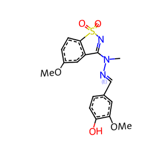 COc1ccc2c(c1)C(N(C)/N=C/c1ccc(O)c(OC)c1)=NS2(=O)=O